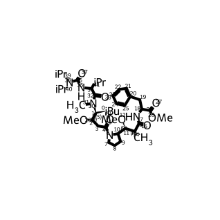 CC[C@H](C)[C@@H]([C@@H](CC(=O)N1CCCC1[C@H](OC)[C@@H](C)C(=O)NC(Cc1ccccc1)C(=O)OC)OC)N(C)C(=O)C(NC(=O)N(C(C)C)C(C)C)C(C)C